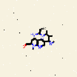 CC/C=C(/N)NC(C)C(C)/C(=N\C)c1cnc2c(c1)C=CC(=C=O)N2C